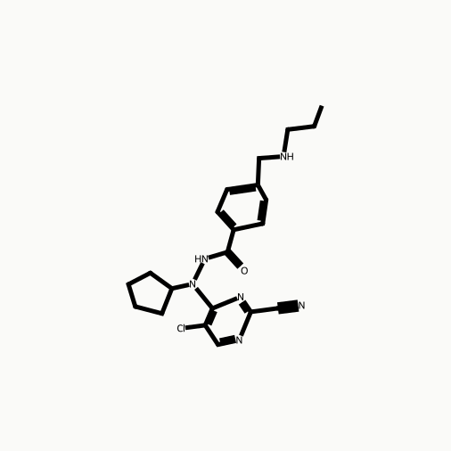 CCCNCc1ccc(C(=O)NN(c2nc(C#N)ncc2Cl)C2CCCC2)cc1